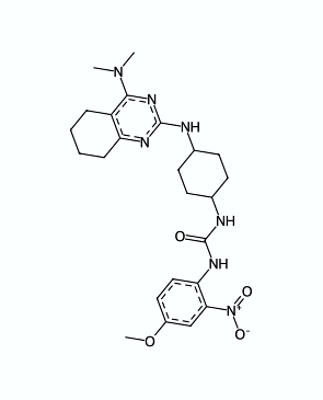 COc1ccc(NC(=O)NC2CCC(Nc3nc4c(c(N(C)C)n3)CCCC4)CC2)c([N+](=O)[O-])c1